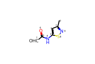 Cc1cc(NC(=O)C=O)sn1